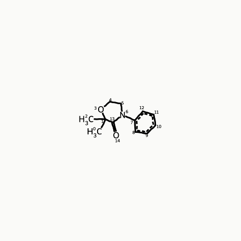 CC1(C)OCCN(c2ccccc2)C1=O